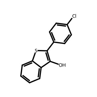 Oc1c(-c2ccc(Cl)cc2)sc2ccccc12